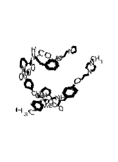 COC(=O)[C@H](Cc1ccc(OCCCN2CCN(C)CC2)cc1)NC(=O)[C@@H]1CCCN1S(=O)(=O)c1ccc(C)cc1.Cc1ccc(S(=O)(=O)N2CCC[C@H]2C(=O)N[C@@H](Cc2cccc(OCCN3CCCC3)c2)C(=O)O)cc1